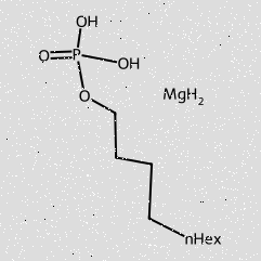 CCCCCCCCCCOP(=O)(O)O.[MgH2]